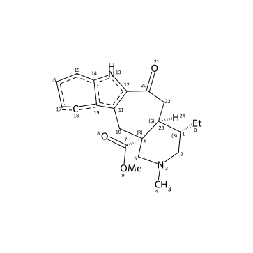 CC[C@@H]1CN(C)C[C@@]2(C(=O)OC)Cc3c([nH]c4ccccc34)C(=O)C[C@@H]12